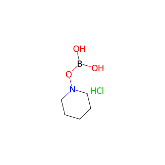 Cl.OB(O)ON1CCCCC1